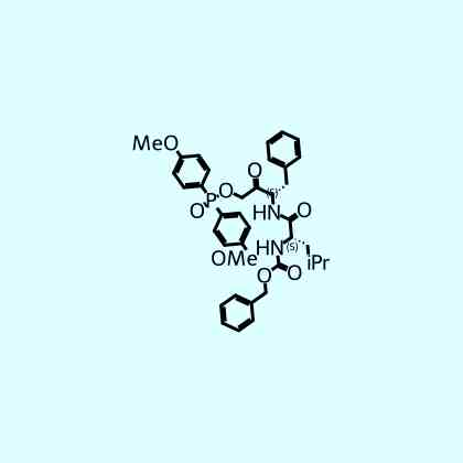 COc1ccc(P(=O)(OCC(=O)[C@H](Cc2ccccc2)NC(=O)[C@H](CC(C)C)NC(=O)OCc2ccccc2)c2ccc(OC)cc2)cc1